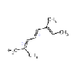 [CH2]/C(C)=C/C=C/C(C)=CC